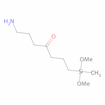 CO[Si](C)(CCCC(=O)CCCN)OC